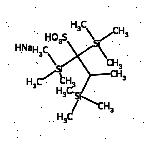 CC(C([Si](C)(C)C)([Si](C)(C)C)S(=O)(=O)O)[Si](C)(C)C.[NaH]